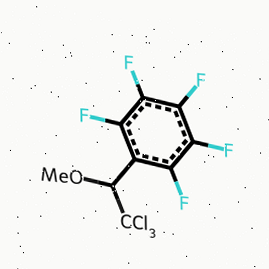 COC(c1c(F)c(F)c(F)c(F)c1F)C(Cl)(Cl)Cl